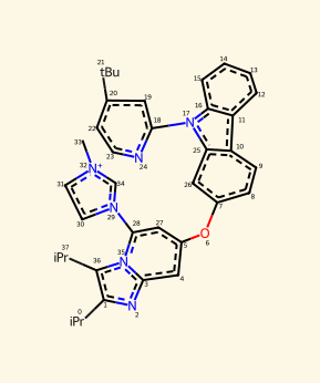 CC(C)c1nc2cc(Oc3ccc4c5ccccc5n(-c5cc(C(C)(C)C)ccn5)c4c3)cc(-n3cc[n+](C)c3)n2c1C(C)C